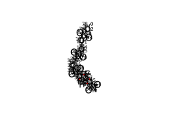 Cc1cc(C)c(N2C(=O)c3ccc(-c4ccc5c(c4)C(=O)N(C(C)(C)C(C)(C)c4c(C)cc(C)c(N6C(=O)c7ccc(C(c8ccc9c(c8)C(=O)N(C)C9=O)(C(F)(F)F)C(F)(F)F)cc7C6=O)c4C)C5=O)cc3C2=O)c(C)c1C